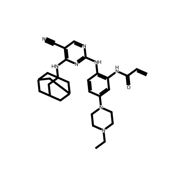 C=CC(=O)Nc1cc(N2CCN(CC)CC2)ccc1Nc1ncc(C#N)c(NC23CC4CC(CC(C4)C2)C3)n1